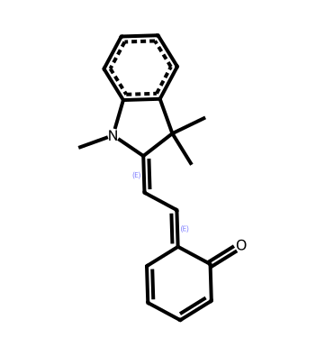 CN1/C(=C/C=C2\C=CC=CC2=O)C(C)(C)c2ccccc21